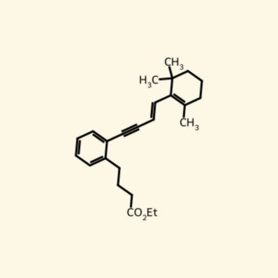 CCOC(=O)CCCc1ccccc1C#CC=CC1=C(C)CCCC1(C)C